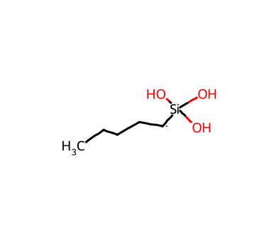 CCCC[CH][Si](O)(O)O